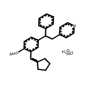 COc1ccc(C(Cc2ccncc2)c2ccccc2)cc1C=C1CCCC1.Cl.O